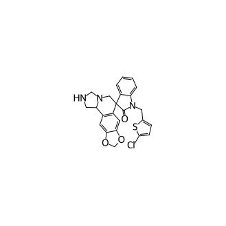 O=C1N(Cc2ccc(Cl)s2)c2ccccc2C12CN1CNCC1c1cc3c(cc12)OCO3